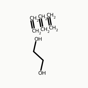 C=C.C=C.C=C.OCCO